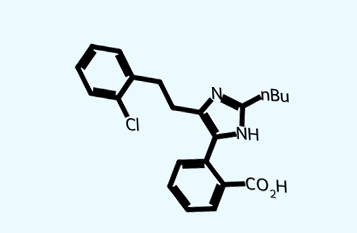 CCCCc1nc(CCc2ccccc2Cl)c(-c2ccccc2C(=O)O)[nH]1